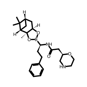 CC1(C)[C@@H]2C[C@H]3OB([C@H](CCc4ccccc4)NC(=O)C[C@@H]4CNCCO4)O[C@@]3(C)[C@H]1C2